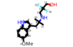 COc1ccc2[nH]cc(CC(C)(C)NCC(F)(F)CO)c2c1